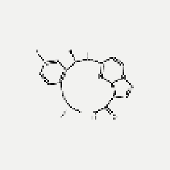 C[C@H]1CNC(=O)c2cnn3ccc(nc23)N[C@H](C)c2cc(F)ccc2C1